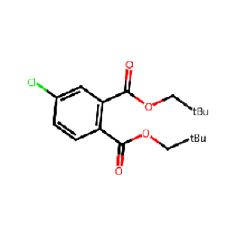 CC(C)(C)COC(=O)c1ccc(Cl)cc1C(=O)OCC(C)(C)C